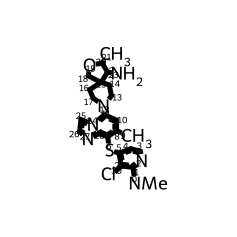 CNc1nccc(Sc2c(C)cc(N3CCC4(CC3)COC(C)C4N)n3ccnc23)c1Cl